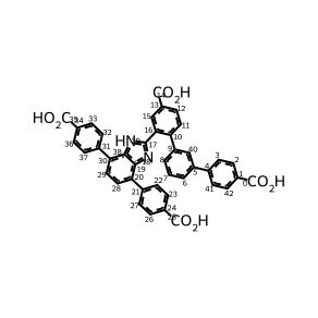 O=C(O)c1ccc(-c2cccc(-c3ccc(C(=O)O)cc3-c3nc4c(-c5ccc(C(=O)O)cc5)ccc(-c5ccc(C(=O)O)cc5)c4[nH]3)c2)cc1